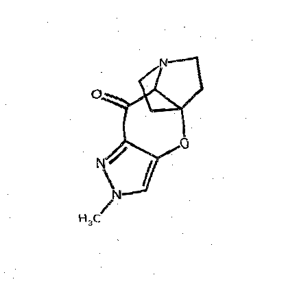 Cn1cc2c(n1)C(=O)C1N3CCC1(CC3)O2